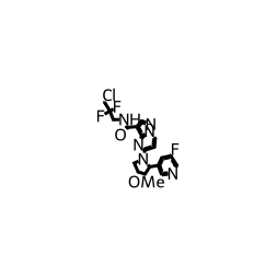 COc1ncc(F)cc1C1CCCN1c1ccn2ncc(C(=O)NCC(F)(F)CCl)c2n1